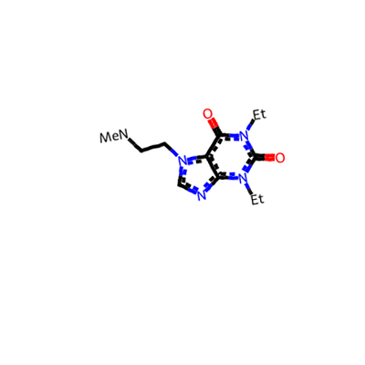 CCn1c(=O)c2c(ncn2CCNC)n(CC)c1=O